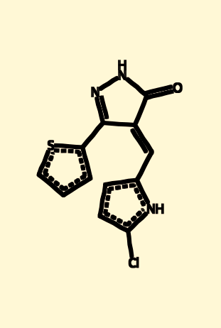 O=C1NN=C(c2cccs2)/C1=C\c1ccc(Cl)[nH]1